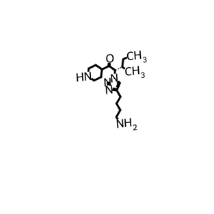 CCC(C)[C@@H](C(=O)C1CCNCC1)n1cc(CCCCN)nn1